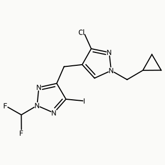 FC(F)n1nc(I)c(Cc2cn(CC3CC3)nc2Cl)n1